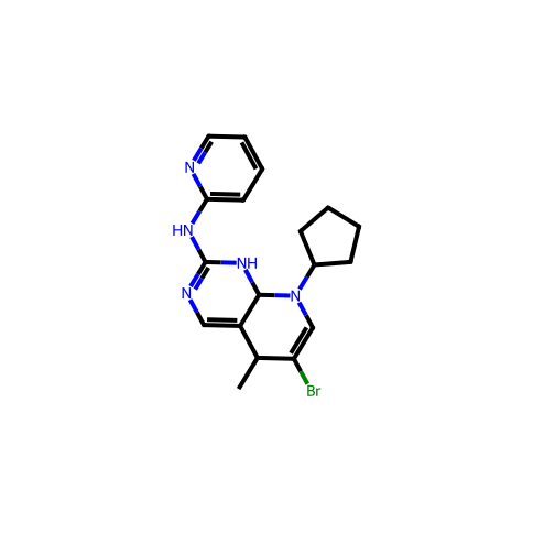 CC1C(Br)=CN(C2CCCC2)C2NC(Nc3ccccn3)=NC=C12